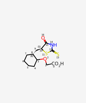 O=C(O)COC1CCCC[C@@H]1C[C@@H]1SC(=S)NC1=O